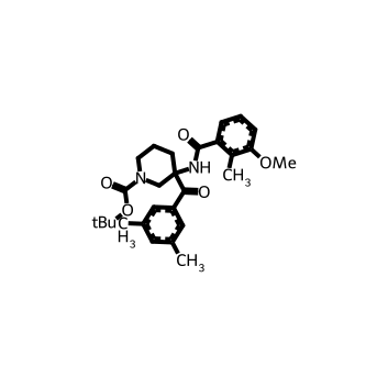 COc1cccc(C(=O)NC2(C(=O)c3cc(C)cc(C)c3)CCCN(C(=O)OC(C)(C)C)C2)c1C